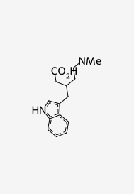 CNCCC(CC(=O)O)Cc1c[nH]c2ccccc12